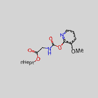 CCCCCCCOC(=O)CNC(=O)Oc1ncccc1OC